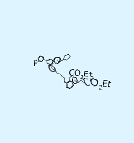 CCOC(=O)CCCOc1cccc(CCCCCCOc2cc(OCC3CCCC3)cc(-c3cccc(F)c3)c2)c1CCC(=O)OCC